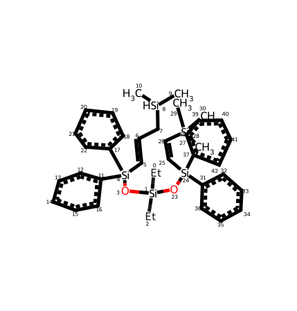 CC[Si](CC)(O[Si](C=CC[SiH](C)C)(c1ccccc1)c1ccccc1)O[Si](C=C[Si](C)(C)C)(c1ccccc1)c1ccccc1